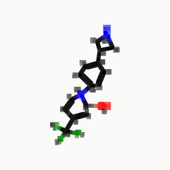 OC1C=C(C(F)(F)F)C=CN1c1ccc(C2CNC2)cc1